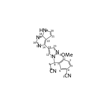 COc1ccc(C#N)cc1C(CC#N)n1cc(-c2ncnc3[nH]ccc23)cn1